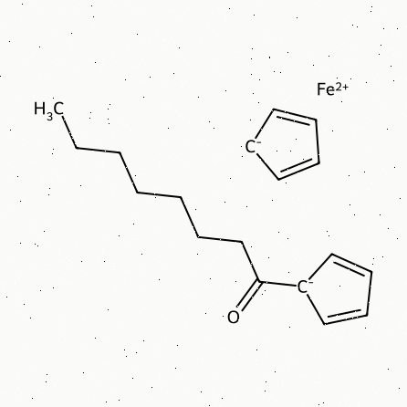 CCCCCCCC(=O)[c-]1cccc1.[Fe+2].c1cc[cH-]c1